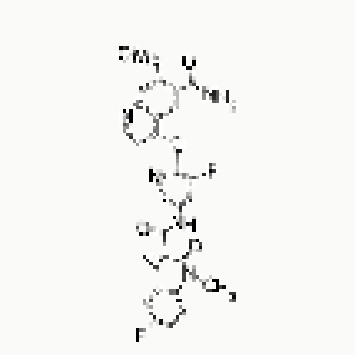 COc1cc2nccc(Oc3ncc(NC(=O)C4(C(=O)N(C)c5ccc(F)cc5)CC4)cc3F)c2cc1C(N)=O